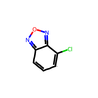 Clc1[c]ccc2nonc12